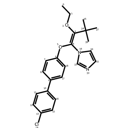 CCOC(=C(Oc1ccc(-c2ccc(Cl)cc2)cc1)n1ccnc1)C(C)(C)C